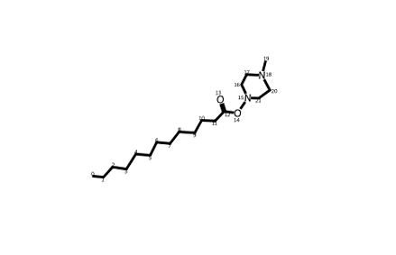 CCCCCCCCCCCCC(=O)ON1CCN(C)CC1